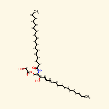 CCCCCCCCCCCCCC=CC(O)C(COC(=O)CO)NC(=O)CCCCCCCCCCCCCCCCC